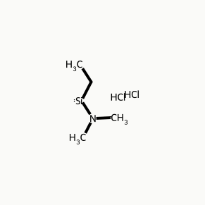 CC[Si]N(C)C.Cl.Cl